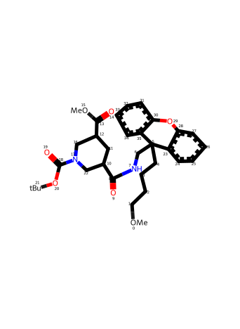 COCCCCC1(CNC(=O)C2CC(C(=O)OC)CN(C(=O)OC(C)(C)C)C2)c2ccccc2Oc2ccccc21